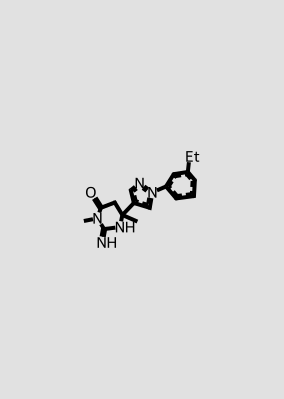 CCc1cccc(-n2cc(C3(C)CC(=O)N(C)C(=N)N3)cn2)c1